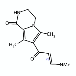 CN/C=C/C(=O)c1c(C)c2n(c1C)CCNC2=O